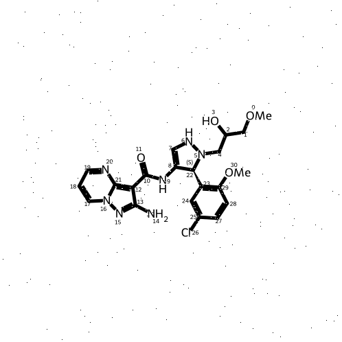 COCC(O)CN1NC=C(NC(=O)c2c(N)nn3cccnc23)[C@@H]1c1cc(Cl)ccc1OC